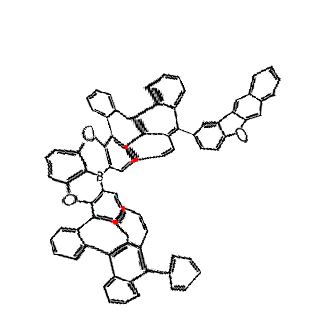 c1ccc(-c2c3ccccc3c(-c3ccccc3-c3cccc4c3Oc3cccc5c3B4c3cccc(-c4ccccc4-c4c6ccccc6c(-c6ccc7oc8cc9ccccc9cc8c7c6)c6ccccc46)c3O5)c3ccccc23)cc1